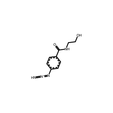 N=[N+]=Nc1ccc(C(=O)NCCO)cc1